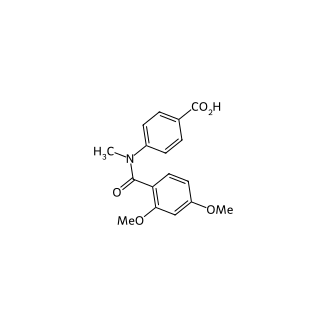 COc1ccc(C(=O)N(C)c2ccc(C(=O)O)cc2)c(OC)c1